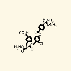 NN=C(N)Nc1ccc(C(=O)Oc2ccc(CCC(=O)N(CC(=O)ON)Cc3cccc(CC(=O)O)c3)c(Cl)c2)cc1